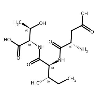 CC[C@H](C)[C@H](NC(=O)[C@@H](N)CC(=O)O)C(=O)N[C@H](C(=O)O)[C@@H](C)O